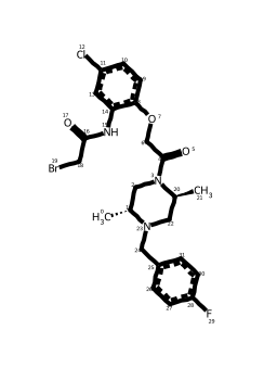 C[C@@H]1CN(C(=O)COc2ccc(Cl)cc2NC(=O)CBr)[C@@H](C)CN1Cc1ccc(F)cc1